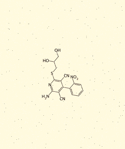 N#Cc1c(N)nc(SCC(O)CO)c(C#N)c1-c1ccccc1[N+](=O)[O-]